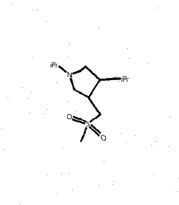 CC(C)C1CN(C(C)C)CC1CS(C)(=O)=O